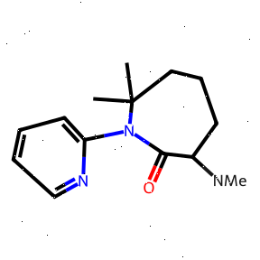 CNC1CCCC(C)(C)N(c2ccccn2)C1=O